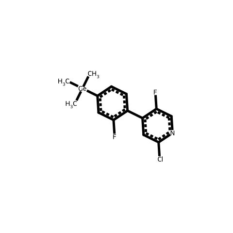 [CH3][Ge]([CH3])([CH3])[c]1ccc(-c2cc(Cl)ncc2F)c(F)c1